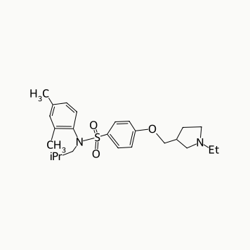 CCN1CCC(COc2ccc(S(=O)(=O)N(CC(C)C)c3ccc(C)cc3C)cc2)C1